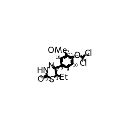 CCC1SC(=O)NN=C1c1ccc(OC(Cl)Cl)c(OC)c1